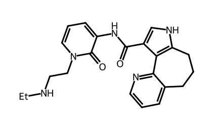 CCNCCn1cccc(NC(=O)c2c[nH]c3c2-c2ncccc2CCC3)c1=O